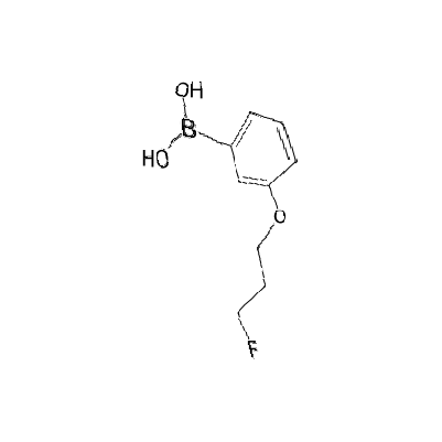 OB(O)c1cccc(OCCCF)c1